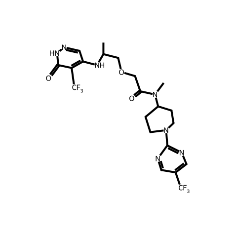 CC(COCC(=O)N(C)C1CCN(c2ncc(C(F)(F)F)cn2)CC1)Nc1cn[nH]c(=O)c1C(F)(F)F